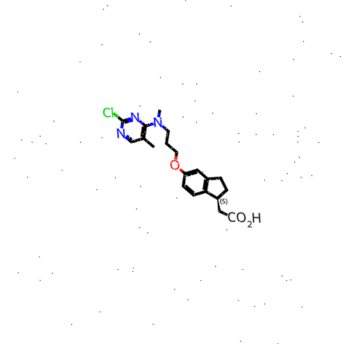 Cc1cnc(Cl)nc1N(C)CCCOc1ccc2c(c1)CC[C@H]2CC(=O)O